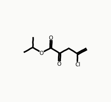 C=C(Cl)CC(=O)C(=O)OC(C)C